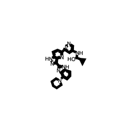 OC(Nc1cncc(-c2ccc3[nH]nc(-c4nc5c(N6CCCCC6)cccc5[nH]4)c3n2)c1)C1CC1